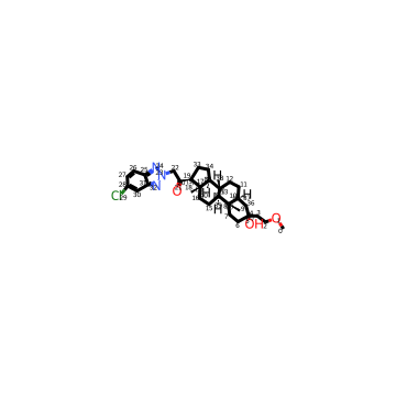 COCC[C@@]1(O)CC[C@@]2(C)[C@@H](CC[C@@H]3[C@@H]2CC[C@]2(C)[C@@H](C(=O)Cn4nc5ccc(Cl)cc5n4)CC[C@@H]32)C1